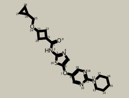 O=C(Nc1ncc(Oc2cnc(N3CCCCC3)nc2)s1)C1CC(OCC2CC2)C1